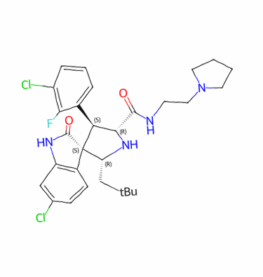 CC(C)(C)C[C@H]1N[C@@H](C(=O)NCCN2CCCC2)[C@H](c2cccc(Cl)c2F)[C@@]12C(=O)Nc1cc(Cl)ccc12